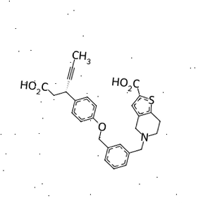 CC#C[C@@H](CC(=O)O)c1ccc(OCc2cccc(CN3CCc4sc(C(=O)O)cc4C3)c2)cc1